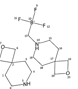 C1CC2(CCN1)COC2.F[B-](F)(F)C[NH+]1CCC2(CC1)COC2